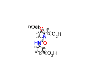 C=C(C(=O)O)c1nc(C(=O)Nc2cccc(C(=O)O)c2)ccc1OCCCCCCCC